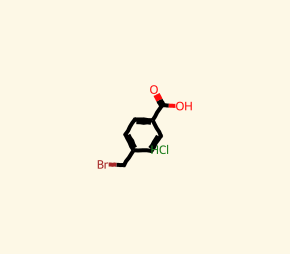 Cl.O=C(O)c1ccc(CBr)cc1